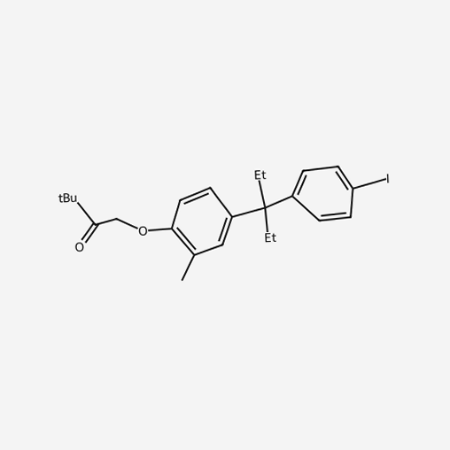 CCC(CC)(c1ccc(I)cc1)c1ccc(OCC(=O)C(C)(C)C)c(C)c1